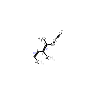 C/C=C\C(C)=C(/C)N=C=O